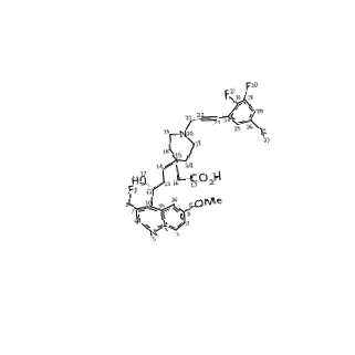 COc1ccc2ncc(CF)c([C@H](O)CCC3(CC(=O)O)CCN(CC#Cc4cc(F)cc(F)c4F)CC3)c2c1